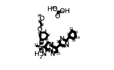 COCCO[C@H]1CC[C@H](c2nc3c(-c4cnc(-c5ccccc5)nc4)cnn3c(N)c2S(C)(=O)=O)CC1.O=C(O)O